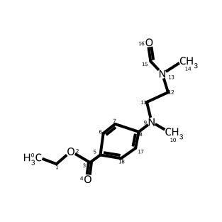 CCOC(=O)c1ccc(N(C)CCN(C)C=O)cc1